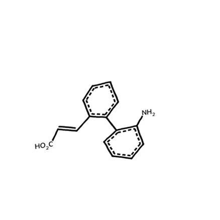 Nc1ccccc1-c1ccccc1/C=C/C(=O)O